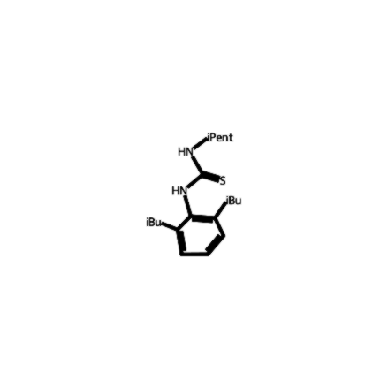 CCCC(C)NC(=S)Nc1c(C(C)CC)cccc1C(C)CC